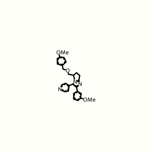 COc1ccc(COCC2CCc3nc(-c4cccc(OC)c4)c(-c4ccncc4)n32)cc1